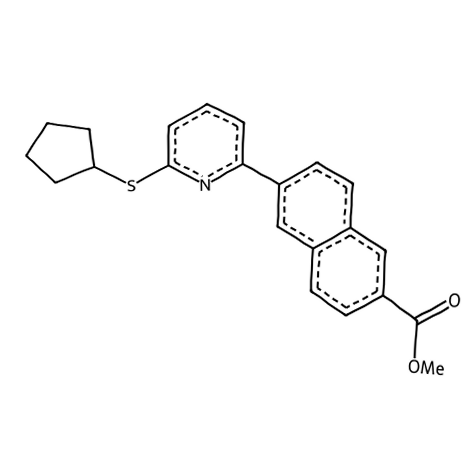 COC(=O)c1ccc2cc(-c3cccc(SC4CCCC4)n3)ccc2c1